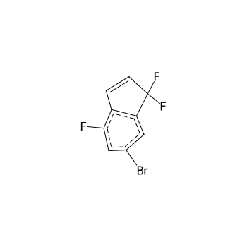 Fc1cc(Br)cc2c1C=CC2(F)F